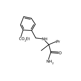 CCOC(=O)c1ccccc1CNC(C)(C(N)=O)C(C)C